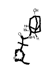 Cc1cncc(C(C)(C)C(=O)N[C@H]2[C@@H]3CC4C[C@H]2C[C@](O)(C4)C3)c1